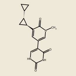 Cn1cc(-c2c[nH]c(=O)[nH]c2=O)cc([C@H]2C[C@@H]2C2CC2)c1=O